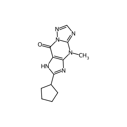 Cn1c2nc(C3CCCC3)[nH]c2c(=O)n2ncnc12